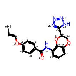 CC/C=C/Oc1ccc(C(=O)Nc2cccc3c2OC(c2nnn[nH]2)CO3)cc1